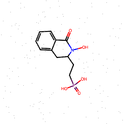 O=C1c2ccccc2CC(CCP(=O)(O)O)N1O